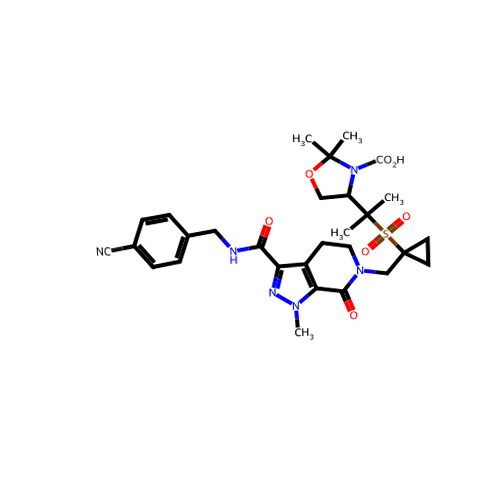 Cn1nc(C(=O)NCc2ccc(C#N)cc2)c2c1C(=O)N(CC1(S(=O)(=O)C(C)(C)C3COC(C)(C)N3C(=O)O)CC1)CC2